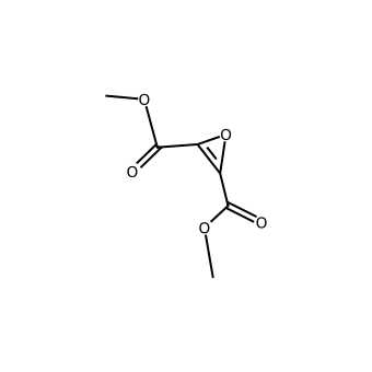 COC(=O)C1=C(C(=O)OC)O1